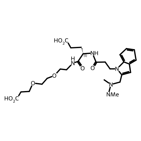 CNN(C)Cc1cc2ccccc2n1CCC(=O)N[C@@H](CCC(=O)O)C(=O)NCCOCCOCCC(=O)O